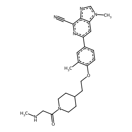 CNCC(=O)N1CCC(CCOc2ccc(-c3cc4c(ncn4C)c(C#N)n3)cc2C)CC1